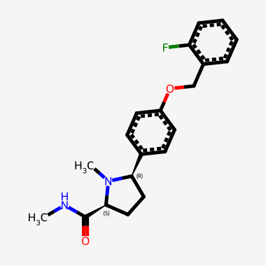 CNC(=O)[C@@H]1CC[C@H](c2ccc(OCc3ccccc3F)cc2)N1C